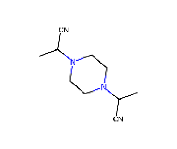 CC(C#N)N1CCN(C(C)C#N)CC1